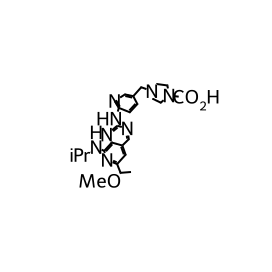 COC(C)c1cc2cnc(Nc3ccc(CN4CCN(C(=O)O)CC4)cn3)nc2c(NC(C)C)n1